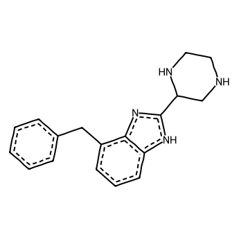 c1ccc(Cc2cccc3[nH]c(C4CNCCN4)nc23)cc1